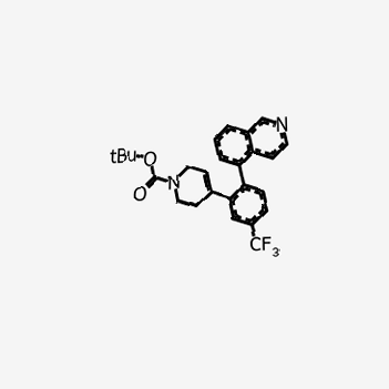 CC(C)(C)OC(=O)N1CC=C(c2cc(C(F)(F)F)ccc2-c2cccc3cnccc23)CC1